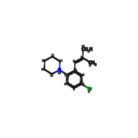 CC(=Cc1cc(Br)ccc1N1CCCCC1)C(=O)O